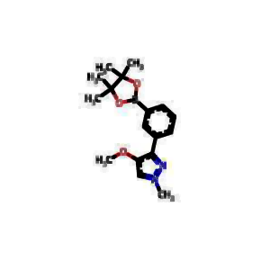 COc1cn(C)nc1-c1cccc(B2OC(C)(C)C(C)(C)O2)c1